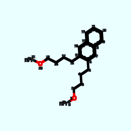 CCCOCCCCc1cc2ccccc2cc1CCCCOCCC